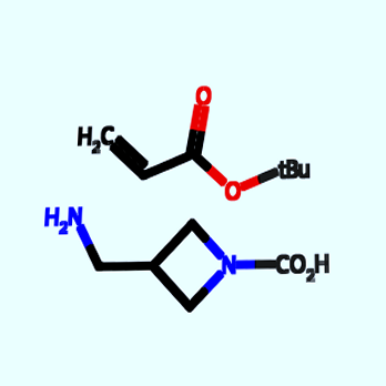 C=CC(=O)OC(C)(C)C.NCC1CN(C(=O)O)C1